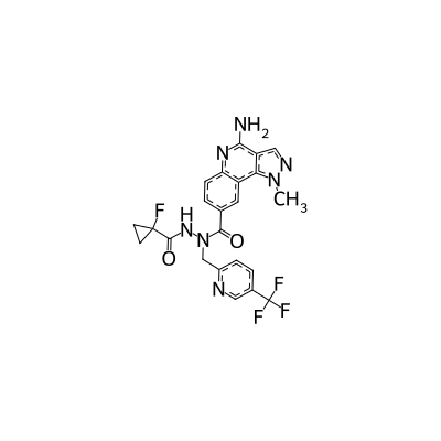 Cn1ncc2c(N)nc3ccc(C(=O)N(Cc4ccc(C(F)(F)F)cn4)NC(=O)C4(F)CC4)cc3c21